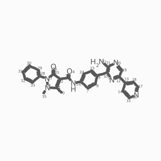 Cc1c(C(=O)Nc2ccc(-c3nc(-c4ccncc4)cnc3N)cc2)c(=O)n(-c2ccccc2)n1C